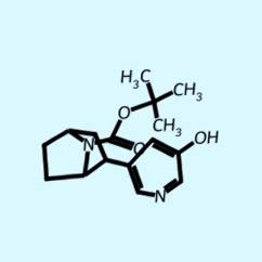 CC(C)(C)OC(=O)N1C2CCC1C(c1cncc(O)c1)C2